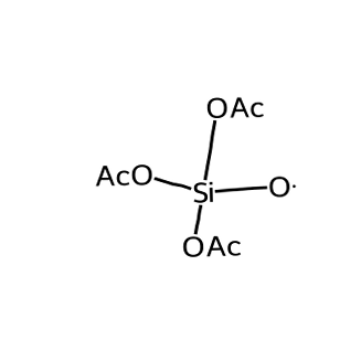 CC(=O)O[Si]([O])(OC(C)=O)OC(C)=O